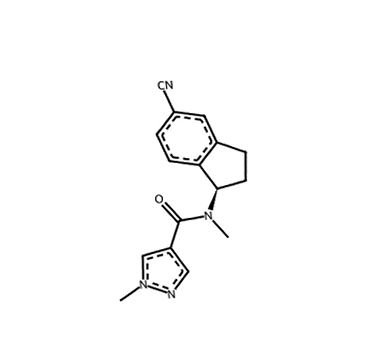 CN(C(=O)c1cnn(C)c1)[C@@H]1CCc2cc(C#N)ccc21